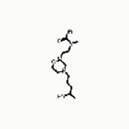 CC(S)CCCN1CCO[C@@H](CCN(C)C(=O)C(C)C)C1